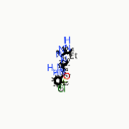 CCc1c[nH]c2ncnc(N3CC[C@](N)(CNC(=O)c4cccc(Cl)c4F)C3)c12